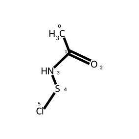 CC(=O)NSCl